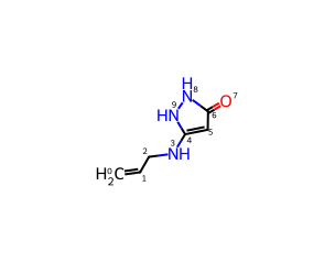 C=CCNc1cc(=O)[nH][nH]1